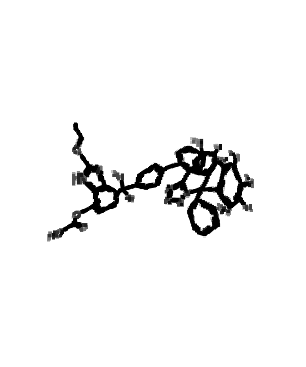 [2H]c1ccc(C(c2ccccc2)(c2c([2H])c([2H])c([2H])c([2H])c2[2H])n2nnnc2-c2ccccc2-c2ccc(C([2H])([2H])c3ccc(OC(=O)O)c4[nH]c(OCC)nc34)cc2)c([2H])c1[2H]